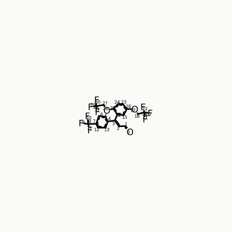 O=CC=C(c1ccc(C(F)(F)F)cc1)c1cc(OCC(F)(F)F)ccc1OCC(F)(F)F